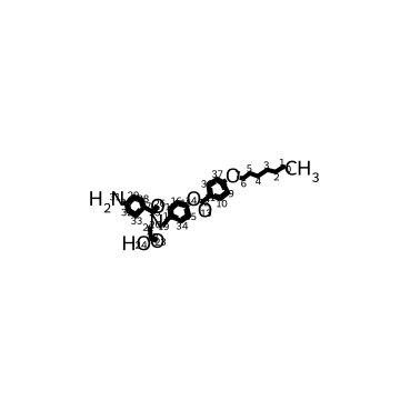 CCCCCCCOc1ccc(C(=O)Oc2ccc(CN(CC(=O)O)C(=O)c3ccc(N)cc3)cc2)cc1